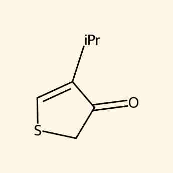 CC(C)C1=CSCC1=O